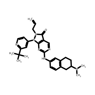 C=CCn1c(=O)c2cnc(Nc3ccc4c(c3)CCC(N(C)C)C4)nc2n1-c1ccnc(C(C)(C)C)c1